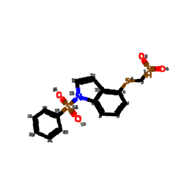 O=[SH](=O)CSc1cccc2c1ccn2S(=O)(=O)c1ccccc1